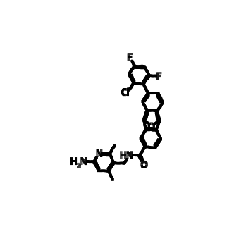 Cc1cc(N)nc(C)c1CNC(=O)c1ccc2c(c1)c1oc2c2ccc(-c3c(F)cc(F)cc3Cl)cc21